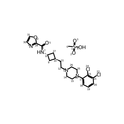 CS(=O)(=O)O.O=C(N[C@H]1C[C@H](CCN2CCN(c3cccc(Cl)c3Cl)CC2)C1)c1ncco1